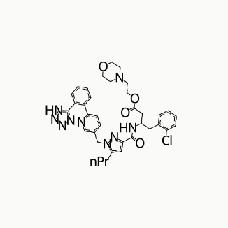 CCCc1cc(C(=O)NC(CC(=O)OCCN2CCOCC2)Cc2ccccc2Cl)nn1Cc1ccc(-c2ccccc2-c2nnn[nH]2)nc1